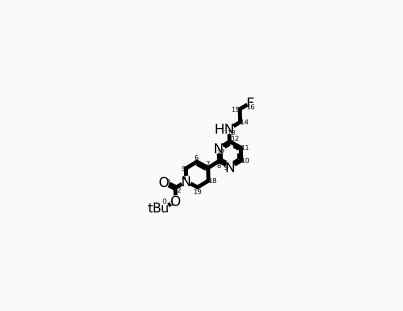 CC(C)(C)OC(=O)N1CC=C(c2nccc(NCCF)n2)CC1